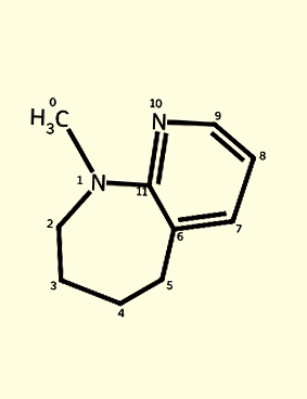 CN1CCCCc2cccnc21